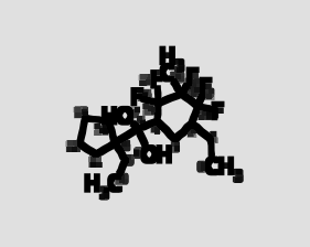 CCC1CC(C(O)(O)C2(CC)CCCC2)C(F)(F)C(C)(F)C1(F)F